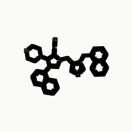 O=C=C1C(N2CCOCC2)C(c2cccc3ccccc23)=CN1Cc1cncn1Cc1cccc2ccccc12